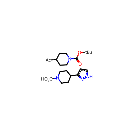 CC(=O)C1CCN(C(=O)OC(C)(C)C)CC1.O=C(O)N1CCC(c2cc[nH]n2)CC1